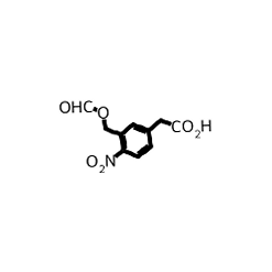 O=COCc1cc(CC(=O)O)ccc1[N+](=O)[O-]